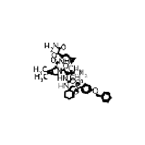 CC1(C)C2CN(C(=O)[C@@H](NC(=O)NC3(CS(=O)(=O)c4ccc(OCc5ccccc5)cc4)CCCCC3)C(C)(C)C)[C@H](C(=O)NC(CC3CC3)C(=O)C(N)=O)C21